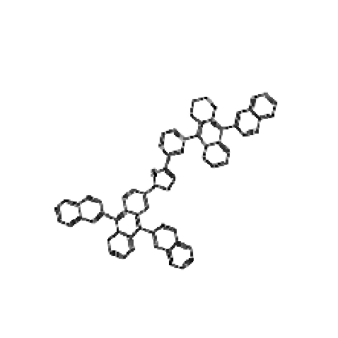 C1=CCC2C(=C1)C(c1ccc3ccccc3c1)=C1CCCCC1=C2c1cccc(C2=CCC(c3ccc4c(c3)=C(c3ccc5ccccc5c3)C3=CC=CCC3C=4c3ccc4ccccc4c3)S2)c1